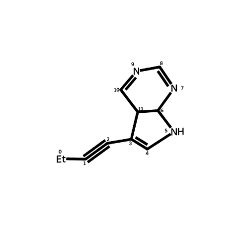 CCC#CC1=CNC2N=CN=CC12